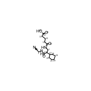 N#CCNC(=O)C(CNC(=O)CCCC(=O)O)C1CCCCC1